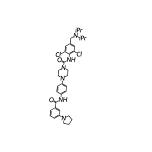 CC(C)N(Cc1cc(Cl)c(NC(=O)N2CCN(c3ccc(NC(=O)c4cccc(N5CCCC5)c4)cc3)CC2)c(Cl)c1)C(C)C